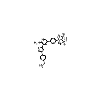 [2H]C([2H])([2H])C(C([2H])([2H])[2H])S(=O)(=O)c1ccc(-c2cnc(N)c(-c3cc(-c4ccc(CNC)cc4)no3)n2)cc1